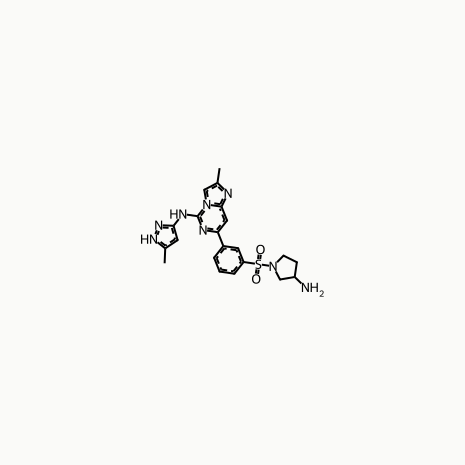 Cc1cn2c(Nc3cc(C)[nH]n3)nc(-c3cccc(S(=O)(=O)N4CCC(N)C4)c3)cc2n1